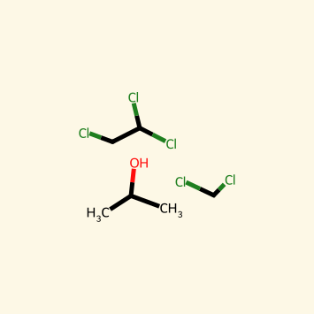 CC(C)O.ClCC(Cl)Cl.ClCCl